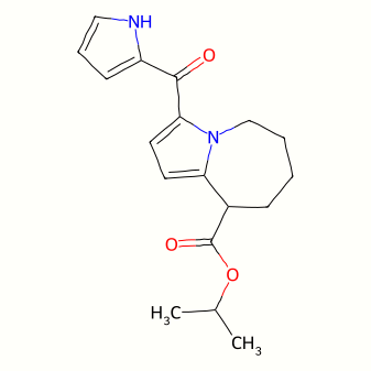 CC(C)OC(=O)C1CCCCn2c(C(=O)c3ccc[nH]3)ccc21